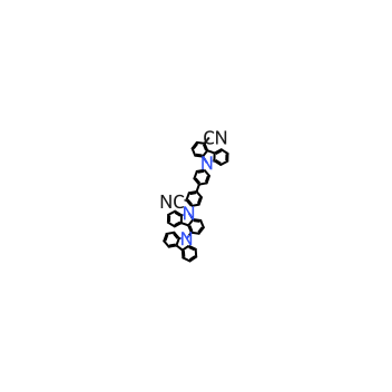 N#Cc1cc(-c2ccc(-n3c4ccccc4c4c(C#N)cccc43)cc2)ccc1-n1c2ccccc2c2c(-n3c4ccccc4c4ccccc43)cccc21